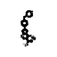 CC(C)Nc1c(C(N)=O)cnn2cc(-c3ccc(CN4CCOCC4)cc3)cc12